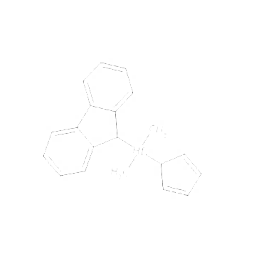 [CH3][Hf]([CH3])([CH]1C=CC=C1)[CH]1c2ccccc2-c2ccccc21